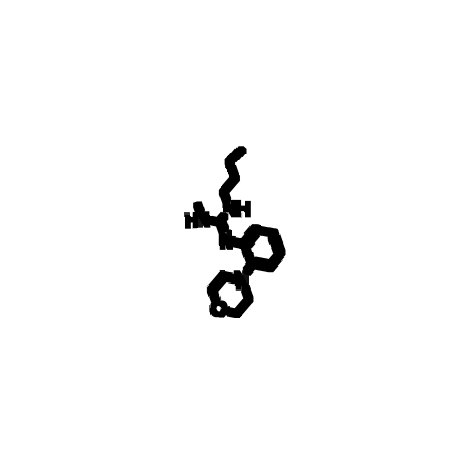 CCCCN/C(=N\c1ccccc1N1CCOCC1)NC